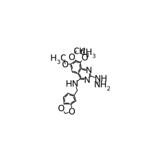 COc1cc2c(NCc3ccc4c(c3)OCO4)nc(NN)nc2c(OC)c1OC